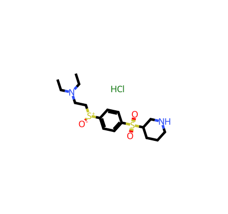 CCN(CC)CC[S+]([O-])c1ccc(S(=O)(=O)C2CCCNC2)cc1.Cl